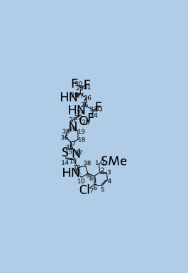 CSCc1cccc(Cl)c1C1CNC(c2csc(C3CCN(CC(=O)N/C(=C\C(=N)C(F)F)C(F)F)CC3)n2)C1